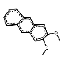 COc1cc2cc3ccccc3cc2cc1OC